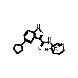 O=C(N[C@H]1CN2CCC1CC2)c1n[nH]c2ccc(C3CCCC3)cc12